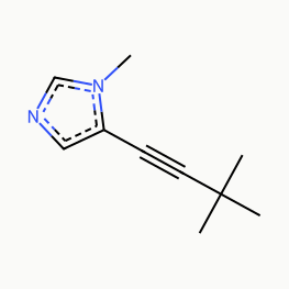 Cn1cncc1C#CC(C)(C)C